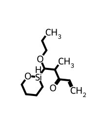 C=CC(=O)C(C)C(OCCC)[SiH]1CCCCO1